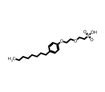 CCCCCCCCc1ccc(OCCOCCS(=O)(=O)O)cc1